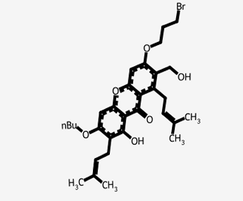 CCCCOc1cc2oc3cc(OCCCBr)c(CO)c(CC=C(C)C)c3c(=O)c2c(O)c1CC=C(C)C